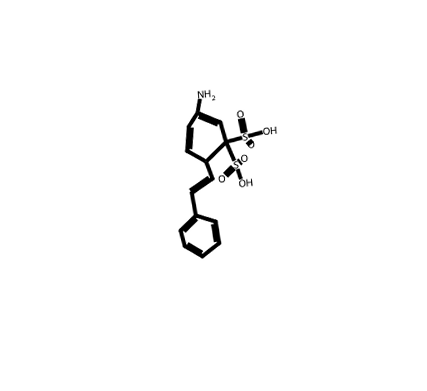 NC1=CC(S(=O)(=O)O)(S(=O)(=O)O)C(C=Cc2ccccc2)C=C1